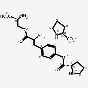 N[C@@H](COC(=O)[C@@H](N)Cc1ccc(OC(=O)[C@@H]2CCCN2)cc1)C(=O)O.O=C(O)[C@@H]1CCCN1